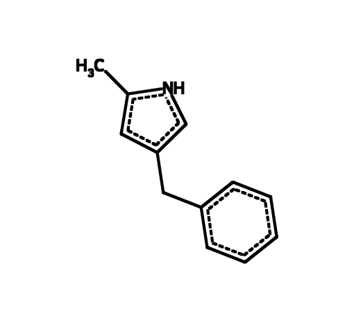 Cc1cc(Cc2ccccc2)c[nH]1